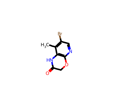 Cc1c(Br)cnc2c1NC(=O)CO2